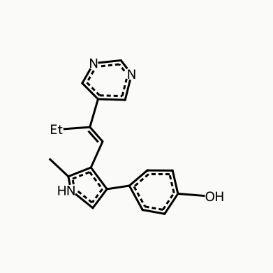 CC/C(=C\c1c(-c2ccc(O)cc2)c[nH]c1C)c1cncnc1